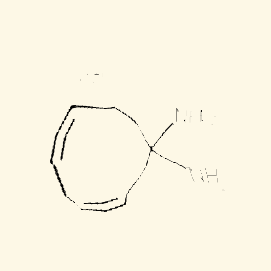 Cl.NC1(N)C=CC=CC1